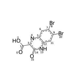 O=C(O)c1nc2cc(Br)c(Br)cc2[nH]c1=O